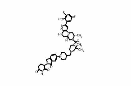 C[C@H]1CN2c3cc(-c4cc(F)cc(F)c4O)nnc3NC[C@H]2CN1C(=O)N1CCN(CC2CCN(c3ccc4c(c3)C(=O)N(C3CCC(=O)NC3=O)C4)CC2)CC1(C)C